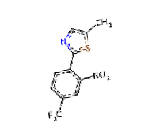 Cc1cnc(-c2ccc(C(F)(F)F)cc2[N+](=O)[O-])s1